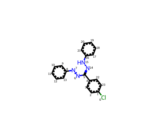 Clc1ccc(C(N=Nc2ccccc2)=NNc2ccccc2)cc1